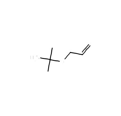 C=CCOC(C)(C)N